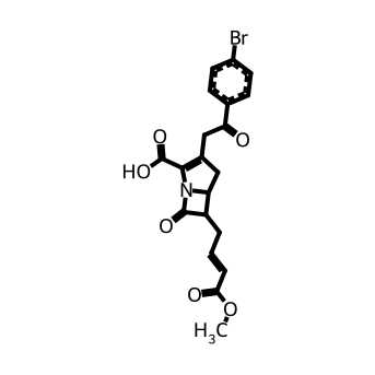 COC(=O)C=CCC1C(=O)N2C(C(=O)O)=C(CC(=O)c3ccc(Br)cc3)CC12